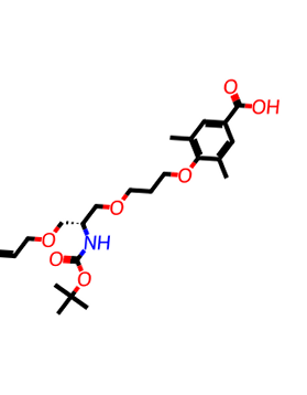 C=CCOC[C@H](COCCCOc1c(C)cc(C(=O)O)cc1C)NC(=O)OC(C)(C)C